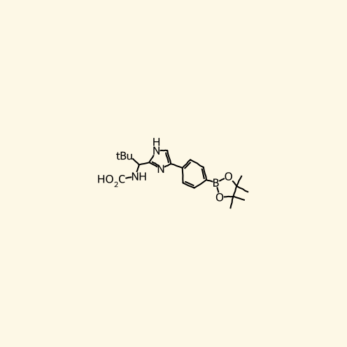 CC(C)(C)C(NC(=O)O)c1nc(-c2ccc(B3OC(C)(C)C(C)(C)O3)cc2)c[nH]1